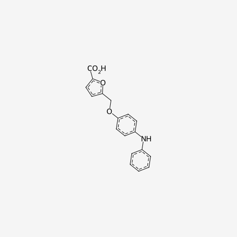 O=C(O)c1ccc(COc2ccc(Nc3ccccc3)cc2)o1